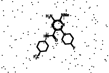 CNc1nc(N2CCC(F)CC2)c(C(=O)N[C@H]2CC[C@H](C(F)(F)F)CC2)cc1N